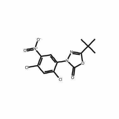 CC(C)(C)c1nn(-c2cc([N+](=O)[O-])c(Cl)cc2Cl)c(=O)o1